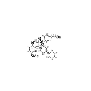 CCCCOc1ccc(S(=O)(=O)c2cnc3ccc(SC)cc3c2N2CCC(N3CCCCC3)CC2)cc1